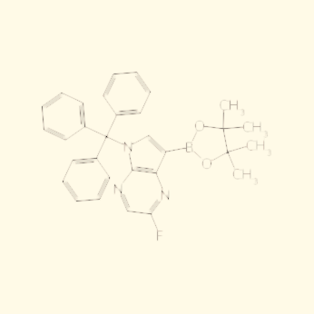 CC1(C)OB(c2cn(C(c3ccccc3)(c3ccccc3)c3ccccc3)c3ncc(F)nc23)OC1(C)C